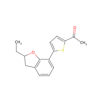 CCC1Cc2cccc(-c3ccc(C(C)=O)s3)c2O1